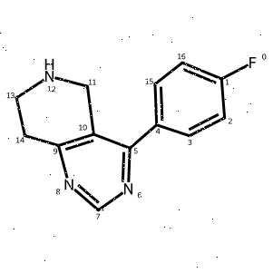 Fc1ccc(-c2n[c]nc3c2CNCC3)cc1